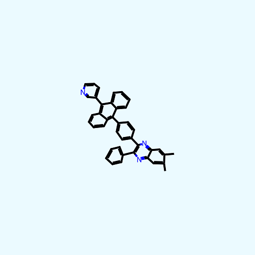 Cc1cc2nc(-c3ccccc3)c(-c3ccc(-c4c5ccccc5c(-c5cccnc5)c5ccccc45)cc3)nc2cc1C